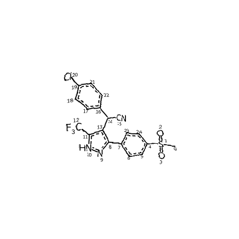 CS(=O)(=O)c1ccc(-c2n[nH]c(C(F)(F)F)c2C(C#N)c2ccc(Cl)cc2)cc1